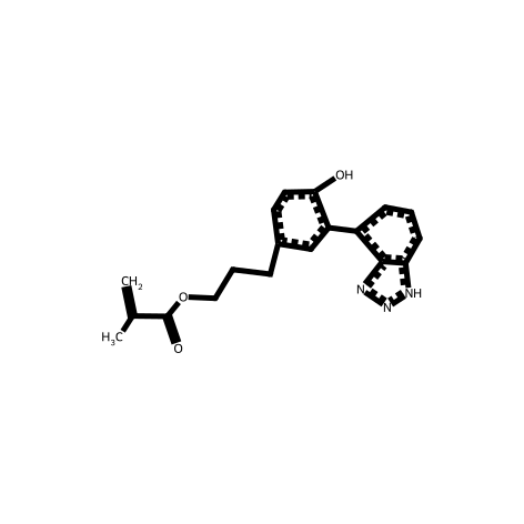 C=C(C)C(=O)OCCCc1ccc(O)c(-c2cccc3[nH]nnc23)c1